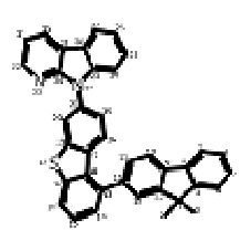 CC1(C)c2ccccc2-c2ccc(-c3cccc4sc5cc(-n6c7ccccc7c7cccnc76)ccc5c34)cc21